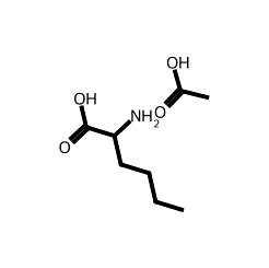 CC(=O)O.CCCCC(N)C(=O)O